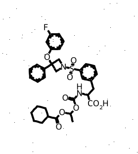 CC(OC(=O)NC(Cc1cccc(S(=O)(=O)N2CC(Oc3cccc(F)c3)(c3ccccc3)C2)c1)C(=O)O)OC(=O)C1CCCCC1